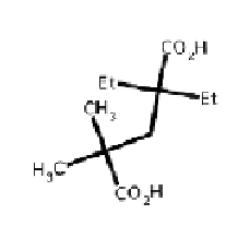 CCC(CC)(CC(C)(C)C(=O)O)C(=O)O